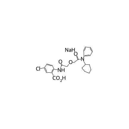 O=C(COCC(=O)N(c1ccccc1)C1CCCCC1)Nc1ccc(Cl)cc1C(=O)O.[NaH]